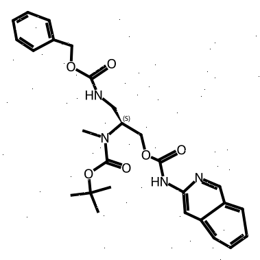 CN(C(=O)OC(C)(C)C)[C@@H](CNC(=O)OCc1ccccc1)COC(=O)Nc1cc2ccccc2cn1